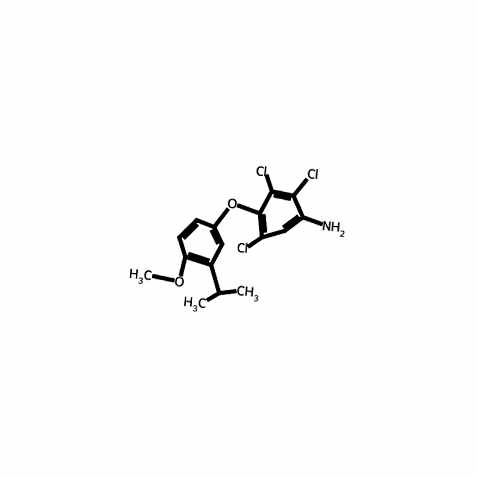 COc1ccc(Oc2c(Cl)cc(N)c(Cl)c2Cl)cc1C(C)C